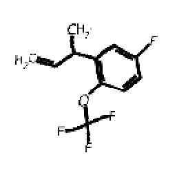 [CH2]C(C=C)c1cc(F)ccc1OC(F)(F)F